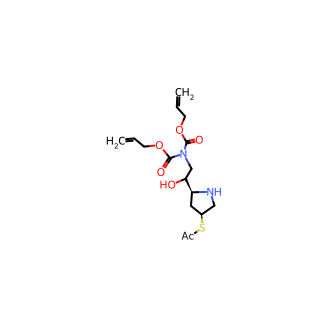 C=CCOC(=O)N(CC(O)[C@@H]1C[C@H](SC(C)=O)CN1)C(=O)OCC=C